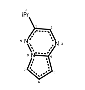 CC(C)c1cnc2cccn2n1